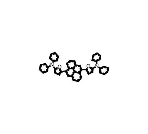 c1ccc(N(c2ccccc2)c2ccc(-c3cc4cccc5c(-c6ccc(N(c7ccccc7)c7ccccc7)o6)cc6cccc3c6c45)o2)cc1